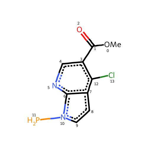 COC(=O)c1cnc2c(ccn2P)c1Cl